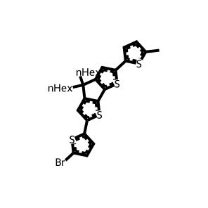 CCCCCCC1(CCCCCC)c2cc(-c3ccc(C)s3)sc2-c2sc(-c3ccc(Br)s3)cc21